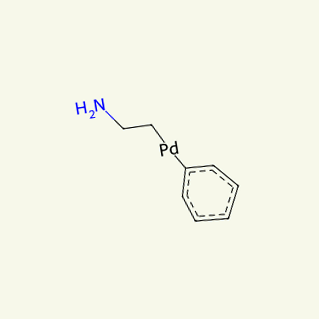 NC[CH2][Pd][c]1ccccc1